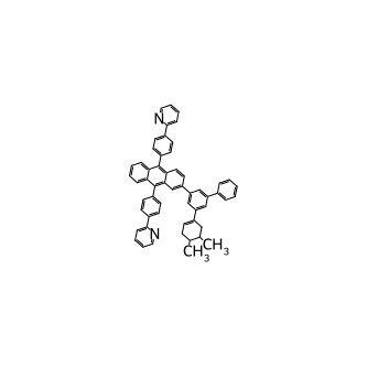 CC1CC=C(c2cc(-c3ccccc3)cc(-c3ccc4c(-c5ccc(-c6ccccn6)cc5)c5ccccc5c(-c5ccc(-c6ccccn6)cc5)c4c3)c2)CC1C